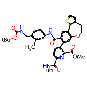 CCCNC(=O)c1ccc(-c2cc3c(cc2C(=O)Nc2ccc(CNC(=O)OC(C)(C)C)c(C)c2)-c2sccc2CCO3)c(C(=O)OC)n1